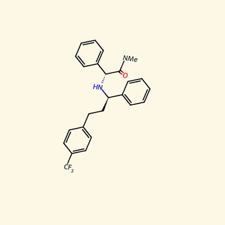 CNC(=O)[C@H](N[C@H](CCc1ccc(C(F)(F)F)cc1)c1ccccc1)c1ccccc1